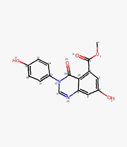 COC(=O)c1cc(O)cc2ncn(-c3ccc(O)cc3)c(=O)c12